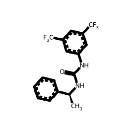 C[C@H](NC(=O)Nc1cc(C(F)(F)F)cc(C(F)(F)F)c1)c1ccccc1